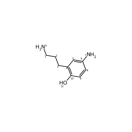 NCCCc1cc(N)ccc1O